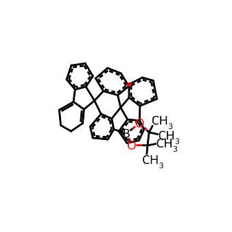 CC1(C)OB(c2cccc3c2C2(c4ccccc4-c4ccccc42)c2ccccc2C32C3=CCCC=C3c3ccccc32)OC1(C)C